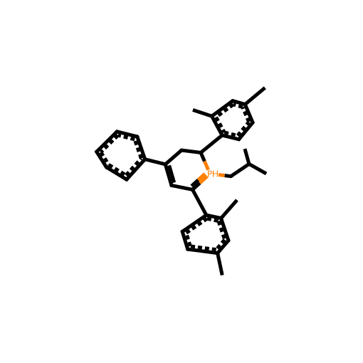 Cc1ccc(C2=[PH](CC(C)C)C(c3ccc(C)cc3C)CC(c3ccccc3)=C2)c(C)c1